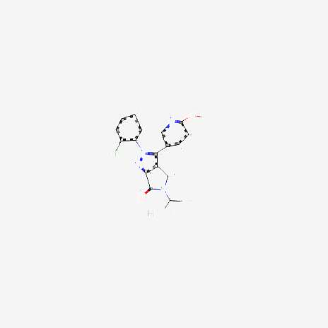 COc1ccc(-c2c3c(nn2-c2ccccc2Cl)C(=O)N(C(C)C)C3)cn1